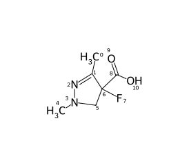 CC1=NN(C)CC1(F)C(=O)O